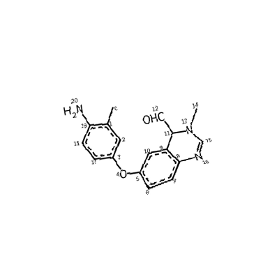 Cc1cc(Oc2ccc3c(c2)C(C=O)N(C)C=N3)ccc1N